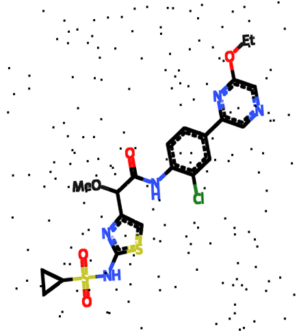 CCOc1cncc(-c2ccc(NC(=O)C(OC)c3csc(NS(=O)(=O)C4CC4)n3)c(Cl)c2)n1